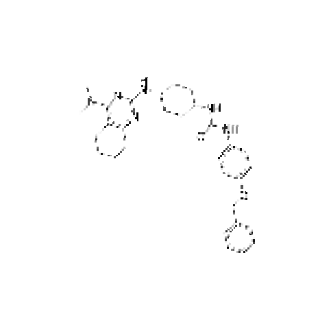 CN(C)c1nc(N[C@H]2CC[C@@H](NC(=O)Nc3ccc(OCc4ccccc4)cc3)CC2)nc2c1CCCC2